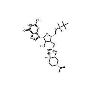 C=C(C)[C@@H]1CC[C@](C)(S)[C@@H](O[PH](=S)O[C@H]2[C@@H](O)[C@H](n3cnc4c(=O)[nH]c(O)nc43)O[C@@H]2CO[Si](C)(C)C(C)(C)C)C1